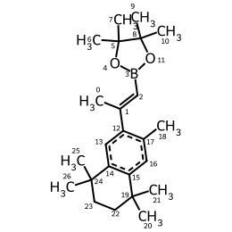 CC(=CB1OC(C)(C)C(C)(C)O1)c1cc2c(cc1C)C(C)(C)CCC2(C)C